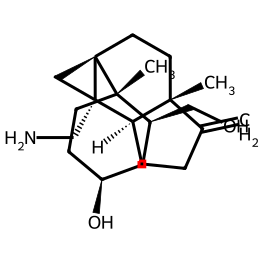 C=C1CC[C@H]2[C@@]3(CN)C[C@]3([C@@]3(C)CC[C@H](O)C[C@@H]3CO)CC[C@]12C